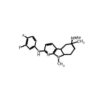 CNC1(C)CCC2C(C1)c1ccc(Nc3ccc(F)c(F)c3)nc1N2C